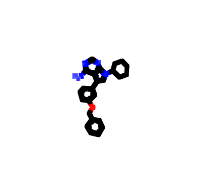 Nc1ncnc2c1c(-c1cccc(OCc3ccccc3)c1)cn2C1CCCCC1